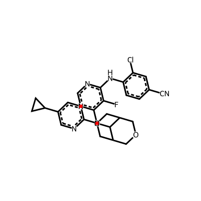 N#Cc1ccc(Nc2ncnc(OC3C4COCC3CN(c3ncc(C5CC5)cn3)C4)c2F)c(Cl)c1